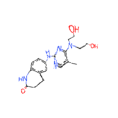 Cc1cnc(Nc2ccc3c(c2)CCC(=O)N3)nc1N(CCO)CCO